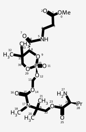 COC(=O)CCNC(=O)[C@@H]1O[P@@](=O)(OCOC(=O)N(C)C(C)(C)COC(=O)[C@@H](N)C(C)C)OCC1(C)C